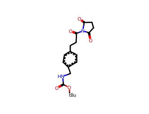 CC(C)(C)OC(=O)NCc1ccc(CCC(=O)N2C(=O)CCC2=O)cc1